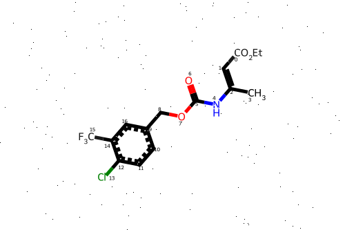 CCOC(=O)C=C(C)NC(=O)OCc1ccc(Cl)c(C(F)(F)F)c1